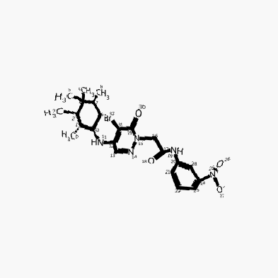 C[C@@H]1[C@@H](C)C(C)(C)[C@@H](C)C[C@H]1Nc1cnn(CC(=O)Nc2cccc([N+](=O)[O-])c2)c(=O)c1Br